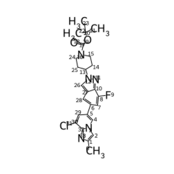 Cc1cn2cc(-c3cc(F)c4nn(C5CCN(C(=O)OC(C)(C)C)CC5)cc4c3)cc(Cl)c2n1